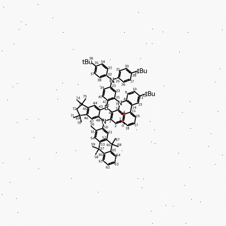 Cc1cc2c3c(c1)N(c1ccc(C(C)(C)C)cc1-c1ccccc1)c1cc(N(c4ccc(C(C)(C)C)cc4)c4ccc(C(C)(C)C)cc4)ccc1B3c1cc3c(cc1N2c1cc2c(cc1C)C(C)(C)c1ccccc1C2(C)C)C(C)(C)CC3(C)C